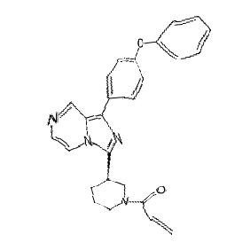 C=CC(=O)N1CCC[C@@H](c2nc(-c3ccc(Oc4ccccc4)cc3)c3cnccn23)C1